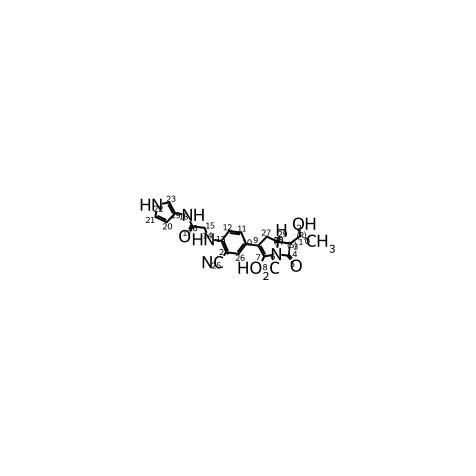 C[C@@H](O)[C@H]1C(=O)N2C(C(=O)O)=C(c3ccc(NCC(=O)Nc4cc[nH]c4)c(C#N)c3)C[C@H]12